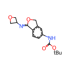 CC(C)(C)OC(=O)Nc1ccc2c(c1)CO/C2=N\C1COC1